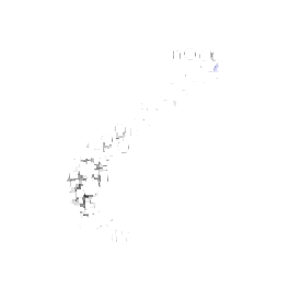 CCCCCCCC/C=C\CCCCCCCCCCCCOC(=O)OC1CC[C@@]2(C)C(=CC[C@H]3[C@@H]4CC[C@H]([C@H](C)CCCC(C)C)[C@@]4(C)CC[C@@H]32)C1